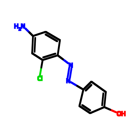 Nc1ccc(/N=N/c2ccc(O)cc2)c(Cl)c1